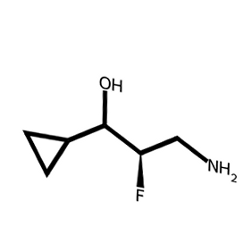 NC[C@@H](F)C(O)C1CC1